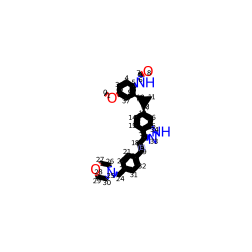 COc1ccc(NC=O)c([C@H]2C[C@H]2c2ccc3c(/C=C/c4ccc(CN5CCOCC5)cc4)n[nH]c3c2)c1